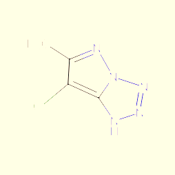 Cc1nn2nn[nH]c2c1Cl